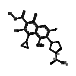 C=C(OCC)c1c(S)n(C2CC2)c2c(OC)c(N3CC[C@@H]([C@H](C)N)C3)c(F)cc2c1=O